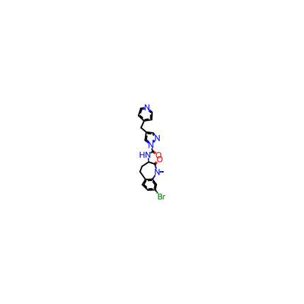 CN1C(=O)[C@H](NC(=O)n2cc(Cc3ccncc3)cn2)CCc2ccc(Br)cc21